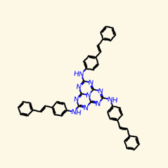 C(=C\c1ccc(NC2=NC3=NC(Nc4ccc(/C=C/c5ccccc5)cc4)=NC4=NC(Nc5ccc(/C=C/c6ccccc6)cc5)=NC(=N2)N34)cc1)/c1ccccc1